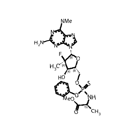 CNc1nc(N)nc2c1ncn2[C@@H]1O[C@H](COP(=S)(N[C@@H](C)C(=O)OC)Oc2ccccc2)[C@@H](O)[C@@]1(C)F